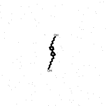 OCCCCCCCCc1ccc(-c2ccc(CCCCCCO)cc2)cc1